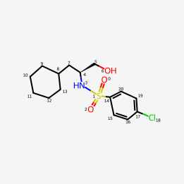 O=S(=O)(N[C@H](CO)CC1CCCCC1)c1ccc(Cl)cc1